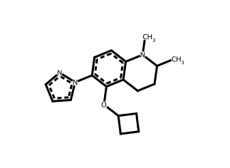 CC1CCc2c(ccc(-n3cccn3)c2OC2CCC2)N1C